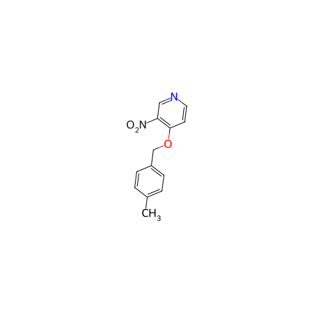 Cc1ccc(COc2ccncc2[N+](=O)[O-])cc1